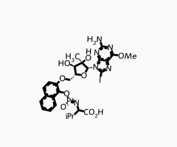 COc1nc(N)nc2c1nc(I)n2[C@@H]1O[C@H](COc2ccc3ccccc3c2O/[P+]([O-])=N/C(C(=O)O)C(C)C)[C@@H](O)[C@@]1(C)O